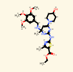 CCOC(=O)c1sc(NC2=NC(N3CCC(O)CC3)=CC(C)(NCc3cc(OC)c(OC)c(OC)c3)N2)nc1C